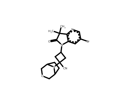 CC1(C)C(=O)N(C2CC(C#N)(N3C4CCC3COC4)C2)c2cc(Br)cnc21